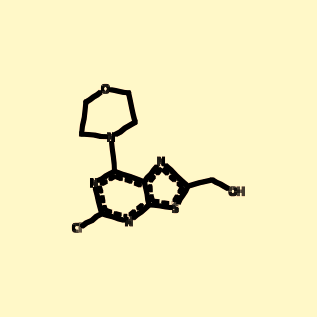 OCc1nc2c(N3CCOCC3)nc(Cl)nc2s1